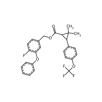 CC1(C)C(C(=O)OCc2ccc(F)c(Oc3ccccc3)c2)C1c1ccc(OC(F)(F)F)cc1